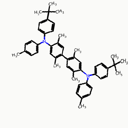 Cc1ccc(N(c2ccc(C(C)(C)C)cc2)c2cc(C)c(-c3cc(C)c(N(c4ccc(C)cc4)c4ccc(C(C)(C)C)cc4)cc3C)cc2C)cc1